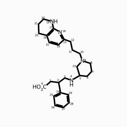 O=C(O)CC(CNC1CCCN(CCCc2ccc3c(n2)NCCC3)C1)c1ccccc1